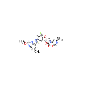 COc1cnc2c(-c3nc4cc(F)c5c(c4s3)CC(CN(C(=O)O)c3ccnc(C)c3)O5)cc(C)cc2n1